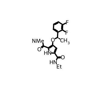 CCNC(=O)c1cc(O[C@H](C)c2cccc(F)c2F)c(C(=O)NC)[nH]1